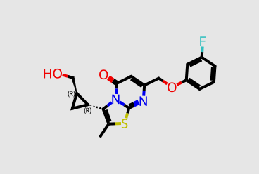 Cc1sc2nc(COc3cccc(F)c3)cc(=O)n2c1[C@@H]1C[C@H]1CO